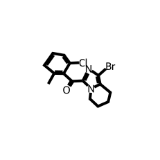 Cc1cccc(Cl)c1C(=O)c1nc(Br)c2n1CCCC2